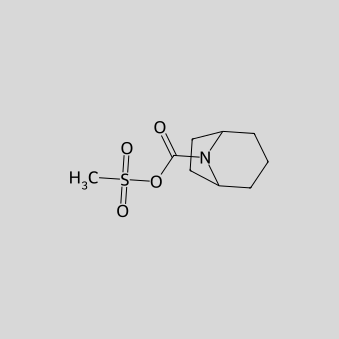 CS(=O)(=O)OC(=O)N1C2CCCC1CC2